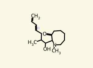 C=C/C=C/CC(C)C(O)C1C(=O)CCCCCN1C